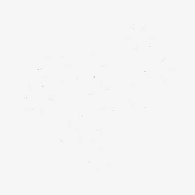 c1ccc(-c2cc(-c3ccccc3)nc(-c3cc(-c4cccc(-c5cccc(-c6ccncc6)c5)c4)cc(-c4cccc(-c5cccc(-c6ccncc6)c5)c4)c3)n2)cc1